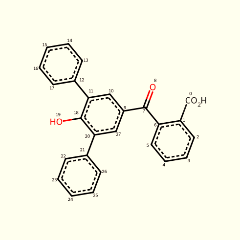 O=C(O)c1ccccc1C(=O)c1cc(-c2ccccc2)c(O)c(-c2ccccc2)c1